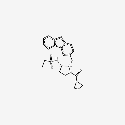 CCS(=O)(=O)N[C@H]1CCN(C(=O)N2CCC2)[C@H]1Cc1ccc2oc3ccccc3c2c1